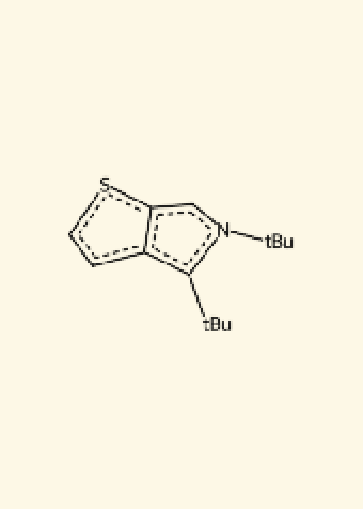 CC(C)(C)c1c2ccsc2cn1C(C)(C)C